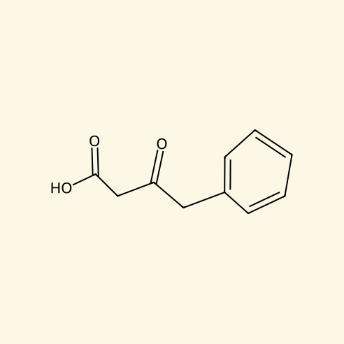 O=C(O)CC(=O)Cc1ccccc1